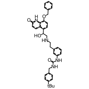 CC(C)(C)c1ccc(CNC(=O)Nc2cccc(CCNCC(O)c3ccc(OCc4ccccc4)c4[nH]c(=O)ccc34)c2)cc1